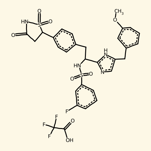 COc1cccc(Cc2cnc(C(Cc3ccc(C4CC(=O)NS4(=O)=O)cc3)NS(=O)(=O)c3cccc(F)c3)[nH]2)c1.O=C(O)C(F)(F)F